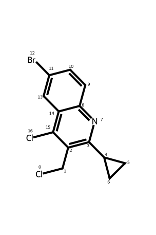 ClCc1c(C2CC2)nc2ccc(Br)cc2c1Cl